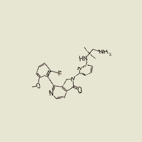 COc1cccc(F)c1-c1nccc2c1CN(c1cccc(NC(C)(C)CN)n1)C2=O